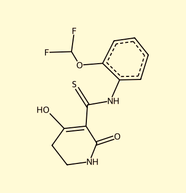 O=C1NCCC(O)=C1C(=S)Nc1ccccc1OC(F)F